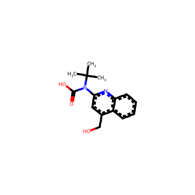 CC(C)(C)N(C(=O)O)c1cc(CO)c2ccccc2n1